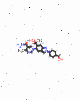 CC(C)(O)c1cc2nn(C3CCC(CO)CC3)cc2cc1N1C=C(C(N)=O)C(C(F)(F)F)=NC1